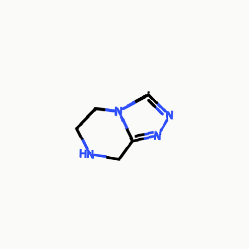 [c]1nnc2n1CCNC2